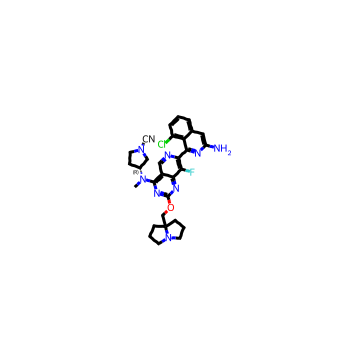 CN(c1nc(OCC23CCCN2CCC3)nc2c(F)c(-c3nc(N)cc4cccc(Cl)c34)ncc12)[C@@H]1CCN(C#N)C1